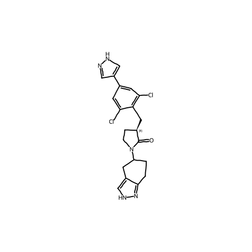 O=C1[C@H](Cc2c(Cl)cc(-c3cn[nH]c3)cc2Cl)CCN1C1CCc2n[nH]cc2C1